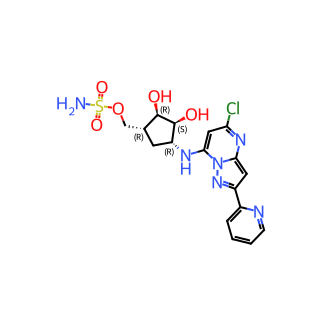 NS(=O)(=O)OC[C@H]1C[C@@H](Nc2cc(Cl)nc3cc(-c4ccccn4)nn23)[C@H](O)[C@@H]1O